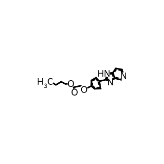 CCCCOC(=O)COc1ccc(-c2nc3cnccc3[nH]2)cc1